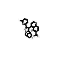 Cc1cccc(-c2nn3c(c2-c2ccnc4ccc(C(N)=O)cc24)[C@H]2CCC(C2)C3)n1